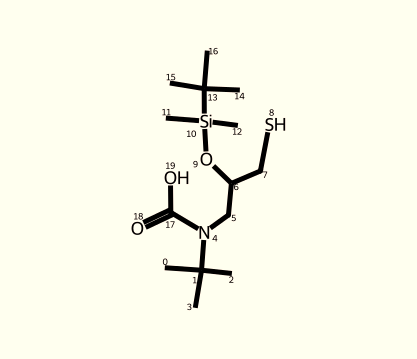 CC(C)(C)N(CC(CS)O[Si](C)(C)C(C)(C)C)C(=O)O